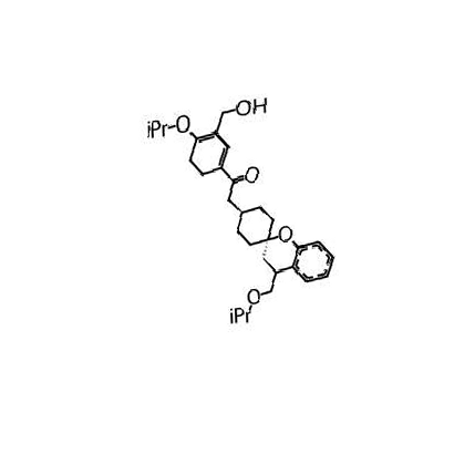 CC(C)OCC1C[C@]2(CC[C@H](CC(=O)C3=CC(CO)=C(OC(C)C)CC3)CC2)Oc2ccccc21